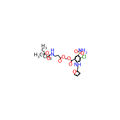 CC(C)(C)OC(=O)NCCC(=O)OCOC(=O)c1cc(S(N)(=O)=O)c(Cl)cc1NCc1ccco1